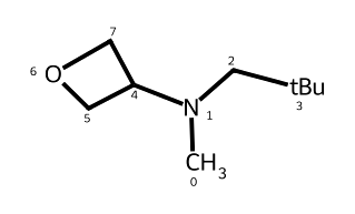 CN(CC(C)(C)C)C1COC1